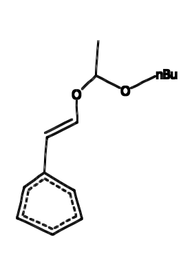 CCCCOC(C)OC=Cc1ccccc1